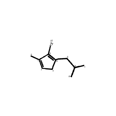 CC1=CCC(CC(C)C)=[C]1[Zr]